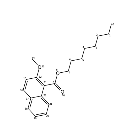 CCCCCCCCOC(=O)c1c(OC)ccc2ccccc12